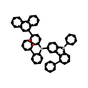 c1ccc(-c2ccccc2N(c2ccc(-c3cc4ccccc4c4ccccc34)cc2)c2ccc3c(c2)c2c(-c4ccccc4)cccc2n3-c2ccccc2)cc1